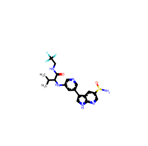 CC(C)C(Nc1cncc(-c2c[nH]c3ncc([S+](N)[O-])cc23)c1)C(=O)NCC(F)(F)F